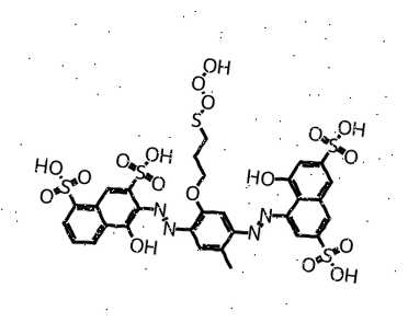 Cc1cc(N=Nc2c(S(=O)(=O)O)cc3c(S(=O)(=O)O)cccc3c2O)c(OCCCSOOO)cc1N=Nc1cc(S(=O)(=O)O)cc2cc(S(=O)(=O)O)cc(O)c12